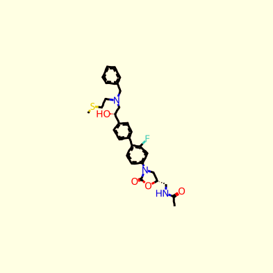 CSCCN(Cc1ccccc1)C[C@@H](O)c1ccc(-c2ccc(N3C[C@H](CNC(C)=O)OC3=O)cc2F)cc1